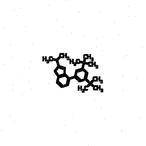 CC(C)C1=Cc2c(cccc2-c2cc(C(C)(C)C)cc(C(C)(C)C)c2)C1